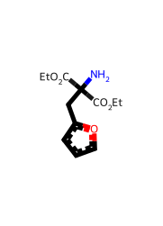 CCOC(=O)C(N)(Cc1ccco1)C(=O)OCC